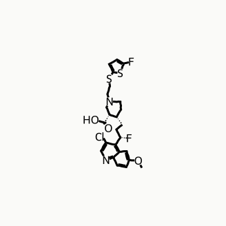 COc1ccc2ncc(Cl)c([C@@H](F)CC[C@H]3CCN(CCSc4ccc(F)s4)C[C@H]3C(=O)O)c2c1